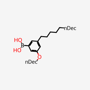 CCCCCCCCCCCCCCCc1cc(OCCCCCCCCCC)cc(B(O)O)c1